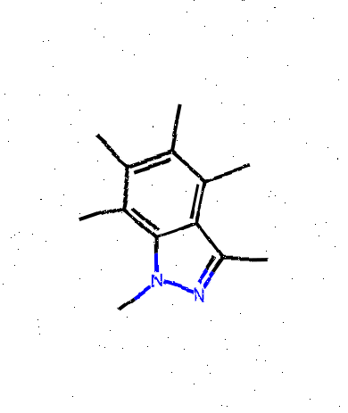 Cc1c(C)c(C)c2c(c(C)nn2C)c1C